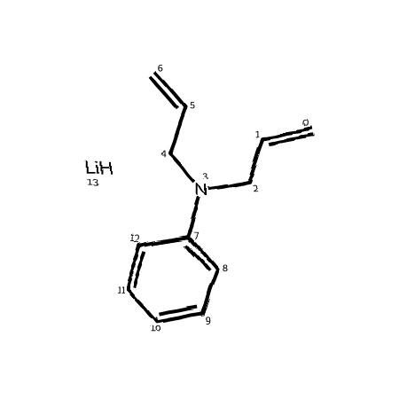 C=CCN(CC=C)c1cc[c]cc1.[LiH]